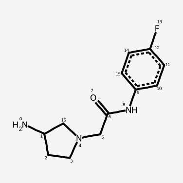 NC1CCN(CC(=O)Nc2ccc(F)cc2)C1